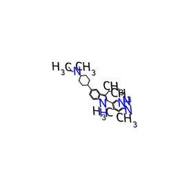 CCN(C)C1CCC(c2ccc3[nH]c(-c4cn5ncnc5c(C)c4C)c(C(C)C)c3c2)CC1